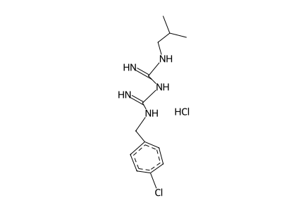 CC(C)CNC(=N)NC(=N)NCc1ccc(Cl)cc1.Cl